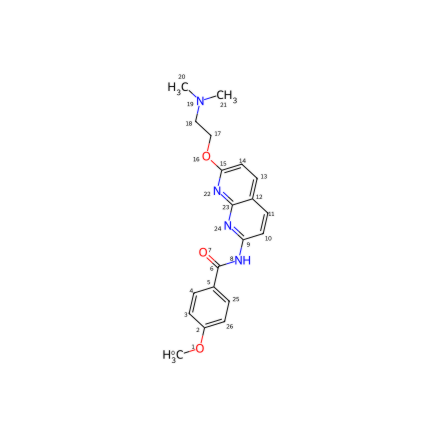 COc1ccc(C(=O)Nc2ccc3ccc(OCCN(C)C)nc3n2)cc1